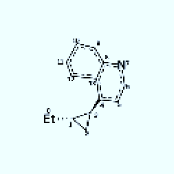 CC[C@H]1C[C@@H]1c1ccnc2ccccc12